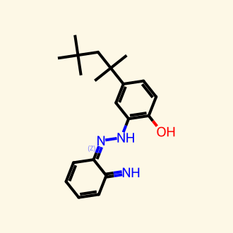 CC(C)(C)CC(C)(C)c1ccc(O)c(N/N=C2/C=CC=CC2=N)c1